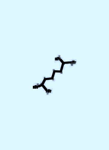 CCCC(CCC)CCCCC(CCC)CCC